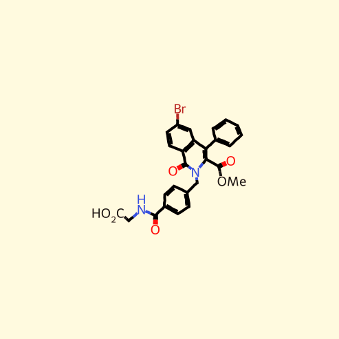 COC(=O)c1c(-c2ccccc2)c2cc(Br)ccc2c(=O)n1Cc1ccc(C(=O)NCC(=O)O)cc1